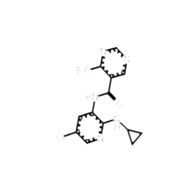 O=C(Nc1cc(Cl)cnc1NC1CC1)c1cncnc1C(F)(F)F